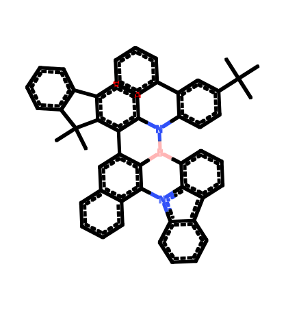 CC(C)(C)c1ccc(N2B3c4c(cc5ccccc5c4-n4c5ccccc5c5cccc3c54)-c3c2ccc2c3C(C)(C)c3ccccc3-2)c(-c2ccccc2)c1